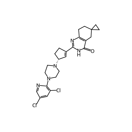 O=c1[nH]c(C2=C[C@H](N3CCN(c4ncc(Cl)cc4Cl)CC3)CC2)nc2c1CC1(CC2)CC1